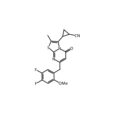 COc1cc(F)c(F)cc1Cc1cc(=O)n2c(C3CC3C#N)c(C)sc2n1